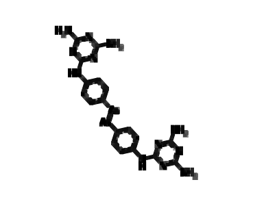 Nc1nc(N)nc(Nc2ccc([As]=[As]c3ccc(Nc4nc(N)nc(N)n4)cc3)cc2)n1